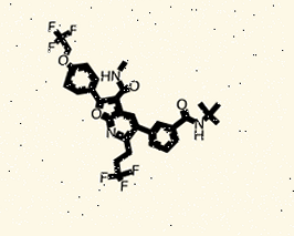 CNC(=O)c1c(-c2ccc(OCC(F)(F)F)cc2)oc2nc(CCC(F)(F)F)c(-c3cccc(C(=O)NC(C)(C)C)c3)cc12